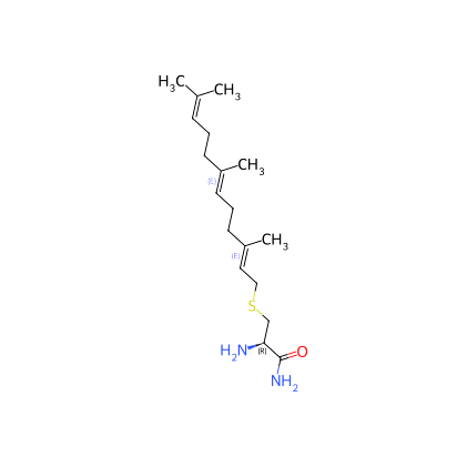 CC(C)=CCC/C(C)=C/CC/C(C)=C/CSC[C@H](N)C(N)=O